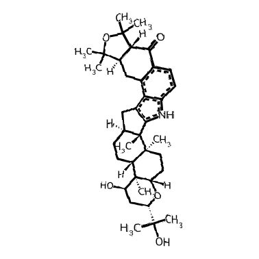 CC(C)(O)[C@@H]1C[C@@H](O)[C@]2(C)[C@H](CC[C@@]3(C)[C@H]2CC[C@H]2Cc4c([nH]c5ccc6c(c45)C[C@@H]4[C@@H](C6=O)C(C)(C)OC4(C)C)[C@@]23C)O1